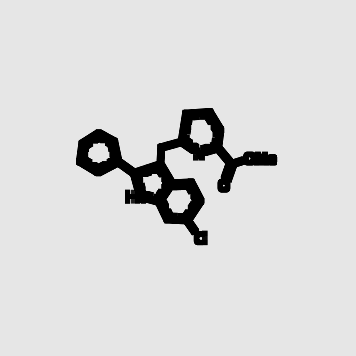 COC(=O)c1cccc(Cc2c(-c3ccccc3)[nH]c3cc(Cl)ccc23)n1